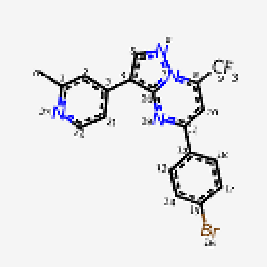 Cc1cc(-c2cnn3c(C(F)(F)F)cc(-c4ccc(Br)cc4)nc23)ccn1